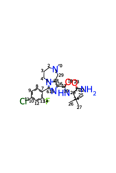 CN1CCCn2c(-c3ccc(Cl)cc3F)nc(C(=O)N[C@H](C(N)=O)C(C)(C)C)c2C1